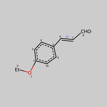 CCOc1ccc(/C=C/[C]=O)cc1